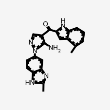 Cc1nc2cc(-n3ncc(C(=O)c4cc5c(C)cccc5[nH]4)c3N)ccc2[nH]1